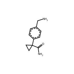 NCc1ccc(C2(C(N)=O)CC2)cc1